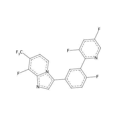 Fc1cnc(-c2cc(-c3cnc4c(F)c(C(F)(F)F)ccn34)ccc2F)c(F)c1